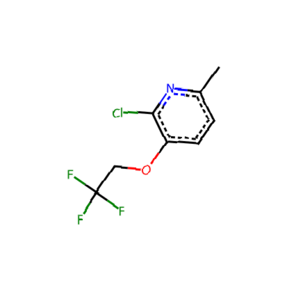 Cc1ccc(OCC(F)(F)F)c(Cl)n1